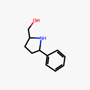 OCC1CCC(c2ccccc2)N1